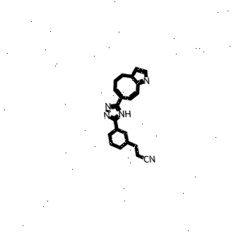 N#CCCC1CCCC(c2nnc(C3=C/CCC4C=CN=C4/C=C\3)[nH]2)C1